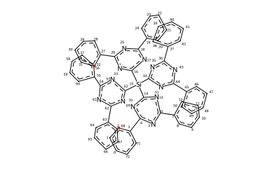 c1ccc(-c2nc(-c3ccccc3)nc([Si](c3nc(-c4ccccc4)nc(-c4ccccc4)n3)(c3nc(-c4ccccc4)nc(-c4ccccc4)n3)c3nc(-c4ccccc4)nc(-c4ccccc4)n3)n2)cc1